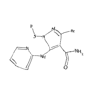 NC(=O)c1c(Br)nn(SF)c1Nc1ccccn1